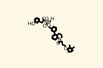 Cc1cccc(OCCCC(=O)N2CCCc3c(-c4cccc(COC(=O)NC(Cc5cccc(O)c5)C(=O)O)c4)cccc32)c1C